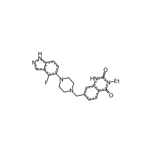 CCn1c(=O)[nH]c2cc(CN3CCN(c4ccc5[nH]ncc5c4F)CC3)ccc2c1=O